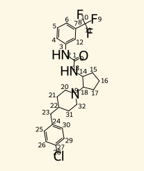 O=C(Nc1cccc(C(F)(F)F)c1)NC1CCCC1N1CCC(Cc2ccc(Cl)cc2)CC1